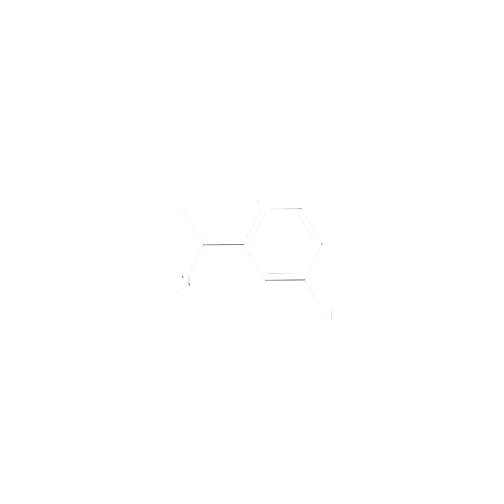 [CH2]C(N)c1cccc(Cl)c1